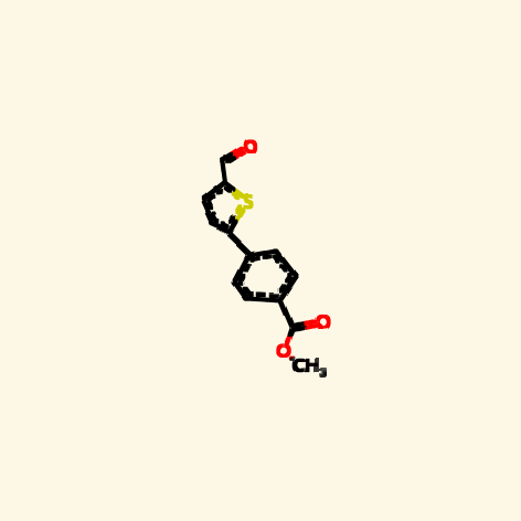 COC(=O)c1ccc(-c2ccc(C=O)s2)cc1